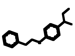 CCC(C)c1ccc(OCCc2ccccc2)cc1